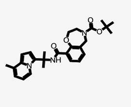 Cc1cccn2c(C(C)(C)NC(=O)c3cccc4c3OCCN(C(=O)OC(C)(C)C)C4)ccc12